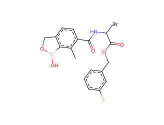 Cc1c(C(=O)NC(C(=O)OCc2cccc(F)c2)C(C)C)ccc2c1B(O)OC2